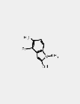 Cc1ccc2c(cc(O)n2C)c1C(C)C